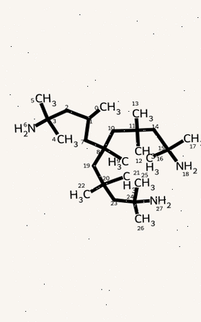 CC(CC(C)(C)N)CC(C)(CC(C)(C)CC(C)(C)N)CC(C)(C)CC(C)(C)N